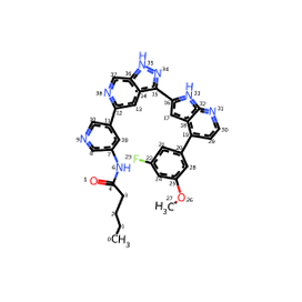 CCCCC(=O)Nc1cncc(-c2cc3c(-c4cc5c(-c6cc(F)cc(OC)c6)ccnc5[nH]4)n[nH]c3cn2)c1